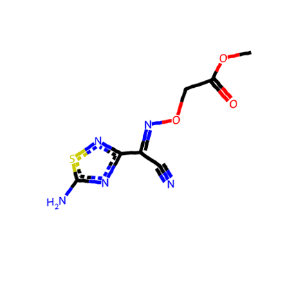 COC(=O)CON=C(C#N)c1nsc(N)n1